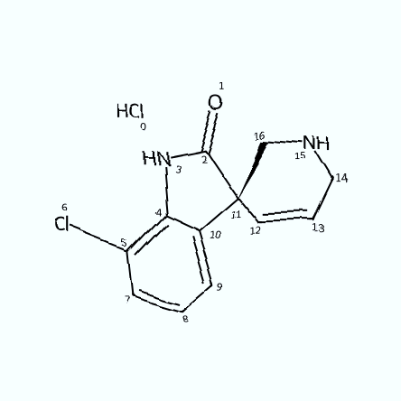 Cl.O=C1Nc2c(Cl)cccc2[C@@]12C=CCNC2